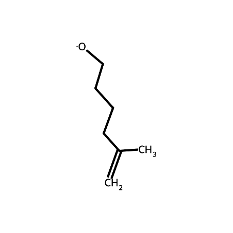 C=C(C)CCCC[O]